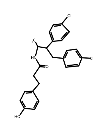 CC(NC(=O)CCc1ccc(O)cc1)C(Cc1ccc(Cl)cc1)c1ccc(Cl)cc1